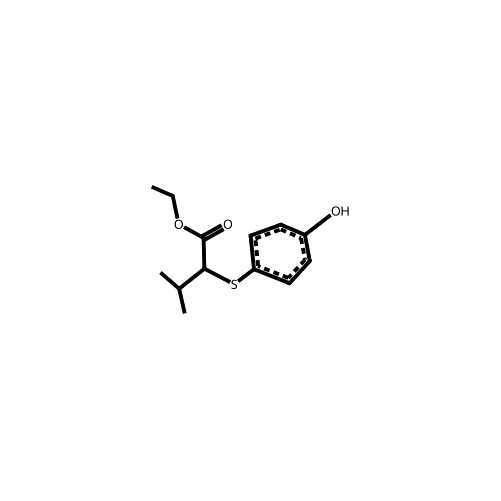 CCOC(=O)C(Sc1ccc(O)cc1)C(C)C